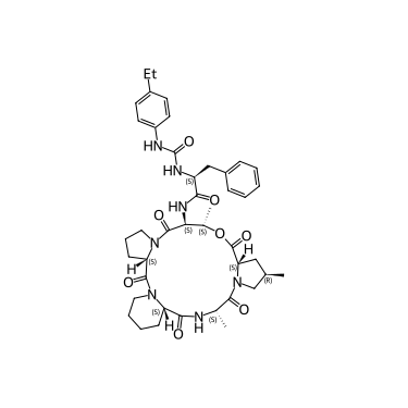 CCc1ccc(NC(=O)N[C@@H](Cc2ccccc2)C(=O)N[C@@H]2C(=O)N3CCC[C@H]3C(=O)N3CCCC[C@H]3C(=O)N[C@@H](C)C(=O)N3C[C@H](C)C[C@H]3C(=O)O[C@H]2C)cc1